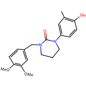 COc1ccc(CN2CCCN(c3ccc(O)c(C)c3)C2=O)cc1OC